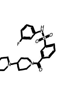 O=C(c1cccc(S(=O)(=O)Nc2cccc(F)c2)c1)N1CCC(N2CCCCC2)CC1